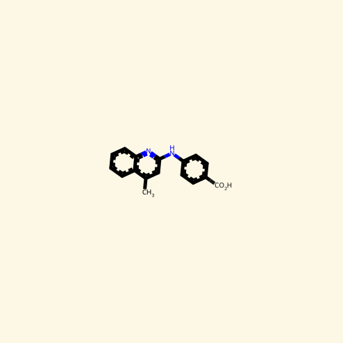 Cc1cc(Nc2ccc(C(=O)O)cc2)nc2ccccc12